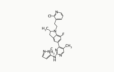 Cc1cnc(Nc2ccnn2C)nc1-c1cc(F)c2c(c1)CC(C)N2CCc1cccnc1Cl